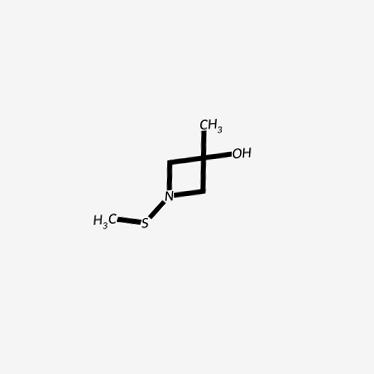 CSN1CC(C)(O)C1